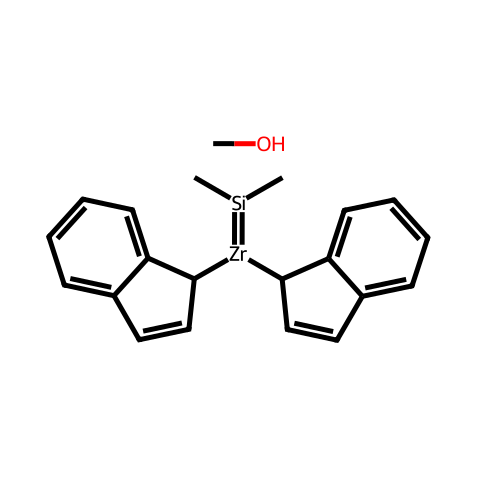 CO.C[Si](C)=[Zr]([CH]1C=Cc2ccccc21)[CH]1C=Cc2ccccc21